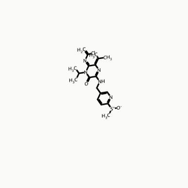 C=C(Cl)/N=C1\C(=C(C)C)N=C(NCc2ccc([S+](C)[O-])nc2)C(=O)N1C(C)C